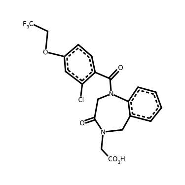 O=C(O)CN1Cc2ccccc2N(C(=O)c2ccc(OCC(F)(F)F)cc2Cl)CC1=O